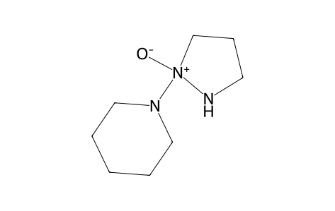 [O-][N+]1(N2CCCCC2)CCCN1